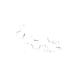 Cc1csc(Oc2c(C)cc(N3NCC(=O)NC3=O)cc2C)c1